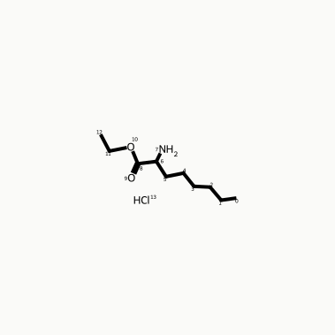 CCCCCCC(N)C(=O)OCC.Cl